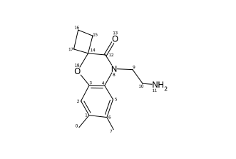 Cc1cc2c(cc1C)N(CCN)C(=O)C1(CCC1)O2